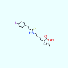 C[C@@H](CCCCNC(=S)CCc1ccc(I)cc1)C(=O)O